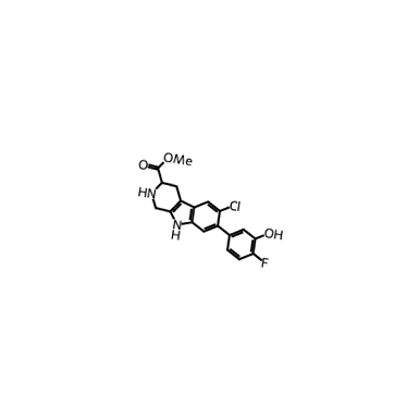 COC(=O)C1Cc2c([nH]c3cc(-c4ccc(F)c(O)c4)c(Cl)cc23)CN1